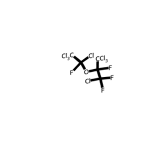 FC(F)(Cl)C(F)(OC(F)(Cl)C(Cl)(Cl)Cl)C(Cl)(Cl)Cl